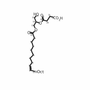 CCCCCCCC/C=C\CCCCCCCC(=O)OCC(CO)OC(=O)CCC(=O)O